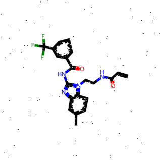 C=CC(=O)NCCn1c(NC(=O)c2cccc(C(F)(F)F)c2)nc2cc(C)ccc21